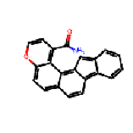 NC(=O)c1ccoc2ccc3ccc4c5ccccc5cc4c3c12